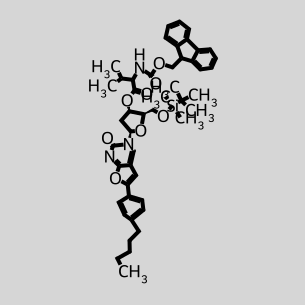 CCCCCc1ccc(-c2cc3cn([C@H]4C[C@@H](OC(=O)C(NC(=O)OCC5c6ccccc6-c6ccccc65)C(C)C)[C@@H](CO[Si](C)(C)C(C)(C)C)O4)c(=O)nc3o2)cc1